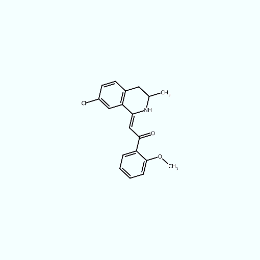 COc1ccccc1C(=O)/C=C1\NC(C)Cc2ccc(Cl)cc21